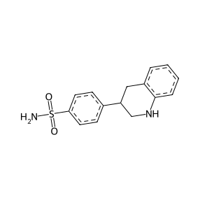 NS(=O)(=O)c1ccc(C2CNc3ccccc3C2)cc1